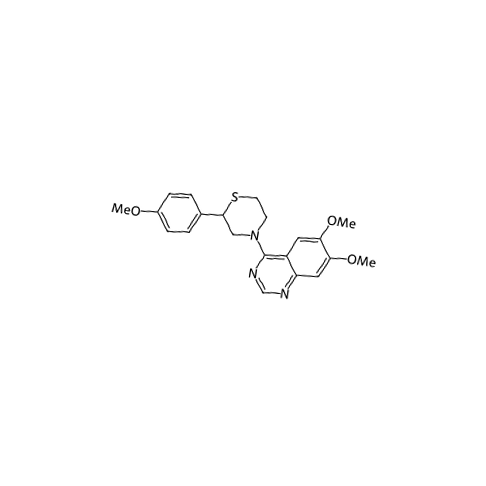 COc1ccc(C2CN(c3ncnc4cc(OC)c(OC)cc34)CCS2)cc1